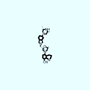 C[C@@H]1CN(c2ccc3c(c2)CN(C[C@H]2CN(c4ccc(C#N)c5ncccc45)C[C@@H](C)O2)C3)C[C@H](C)N1